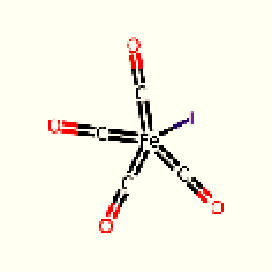 O=[C]=[Fe]([I])(=[C]=O)(=[C]=O)=[C]=O